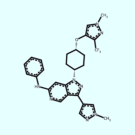 Cn1cc(-c2nn([C@H]3CC[C@@H](Oc4cn(C)nc4C(F)(F)F)CC3)c3cc(Nc4ccccc4)ncc23)cn1